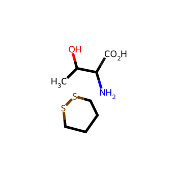 C1CCSSC1.CC(O)C(N)C(=O)O